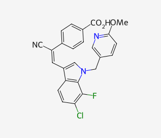 COc1ccc(Cn2cc(C=C(C#N)c3ccc(C(=O)O)cc3)c3ccc(Cl)c(F)c32)cn1